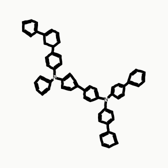 C1=CC(c2ccc(N(c3ccccc3)c3ccc(-c4ccc(N(c5ccc(-c6ccccc6)cc5)c5ccc(-c6ccccc6)cc5)cc4)cc3)cc2)CC(c2ccccc2)=C1